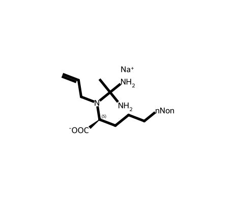 C=CCN([C@@H](CCCCCCCCCCCC)C(=O)[O-])C(C)(N)N.[Na+]